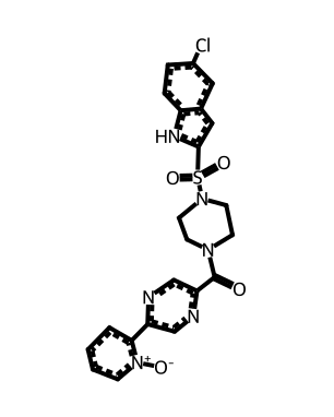 O=C(c1cnc(-c2cccc[n+]2[O-])cn1)N1CCN(S(=O)(=O)c2cc3cc(Cl)ccc3[nH]2)CC1